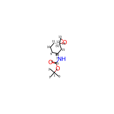 CC(C)(C)OC(=O)N[C@@H]1CCC[C@@]2(CO2)C1